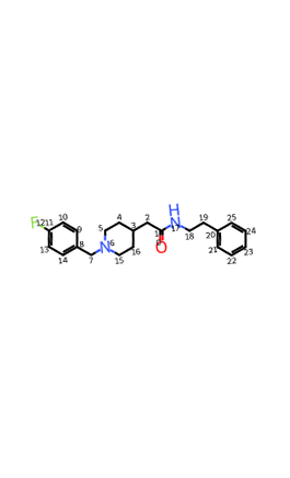 O=C(CC1CCN(Cc2ccc(F)cc2)CC1)NCCc1ccccc1